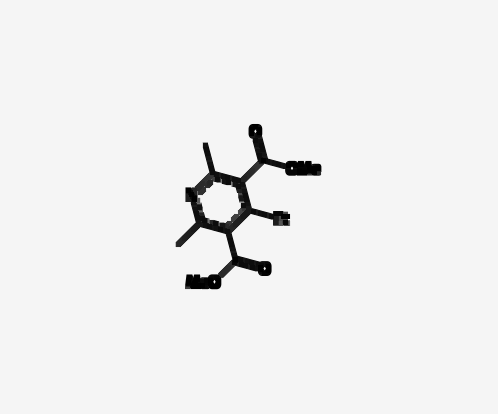 CCc1c(C(=O)OC)c(C)nc(C)c1C(=O)OC